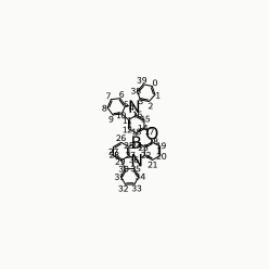 c1ccc(-n2c3ccccc3c3cc4c(cc32)Oc2cccc3c2B4c2cccc4c5ccccc5n-3c24)cc1